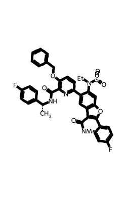 CCN(c1cc2oc(-c3ccc(F)cc3)c(C(=O)NC)c2cc1-c1ccc(OCc2ccccc2)c(C(=O)N[C@H](C)c2ccc(F)cc2)n1)[SH](=O)=O